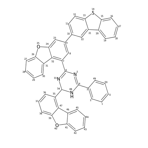 c1ccc(C2=NC(c3cc(-c4ccc5sc6ccccc6c5c4)cc4oc5ccccc5c34)=NC(c3cccc4oc5ccccc5c34)N2)cc1